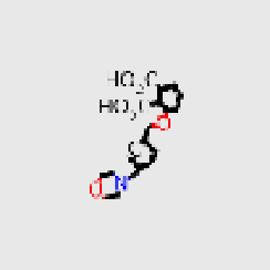 O=C(O)c1cccc(OCc2ccc(CN3CCOCC3)cc2)c1C(=O)O